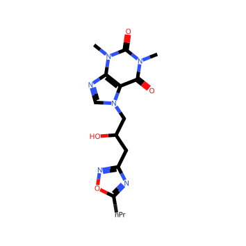 CCCc1nc(CC(O)Cn2cnc3c2c(=O)n(C)c(=O)n3C)no1